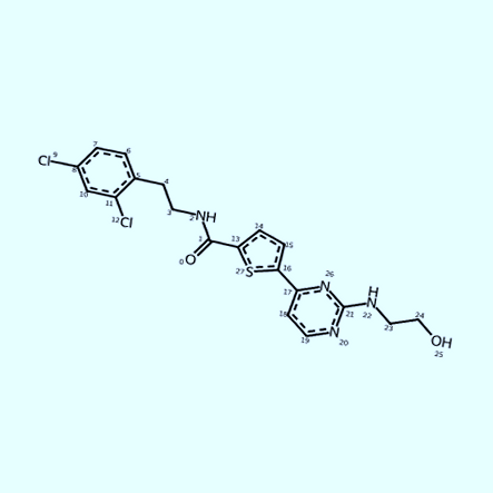 O=C(NCCc1ccc(Cl)cc1Cl)c1ccc(-c2ccnc(NCCO)n2)s1